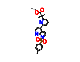 CCOC(=O)C(C)(C)c1cccc(-c2ccnc3c2ccn3S(=O)(=O)c2ccc(C)cc2)n1